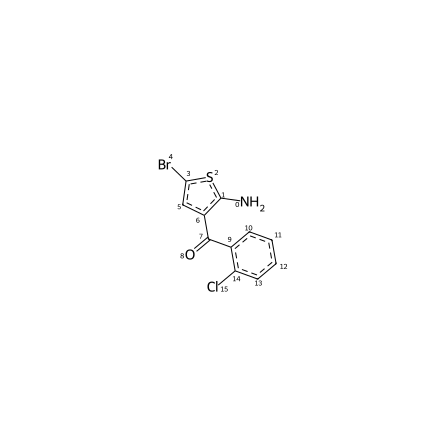 Nc1sc(Br)cc1C(=O)c1ccccc1Cl